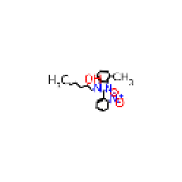 CCCCC(O)Cn1c(-c2ccccc2[N+](=O)[O-])nc2c(C)cccc21